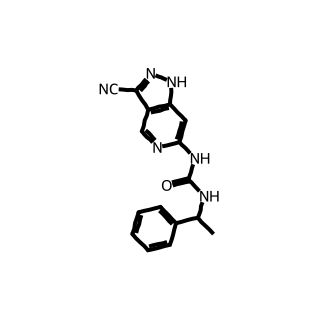 CC(NC(=O)Nc1cc2[nH]nc(C#N)c2cn1)c1ccccc1